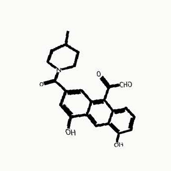 CC1CCN(C(=O)c2cc(O)c3cc4c(O)cccc4c(C(=O)C=O)c3c2)CC1